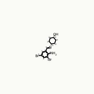 Nc1c(Br)cc(Br)cc1C=N[C@H]1CC[C@@H](O)CC1